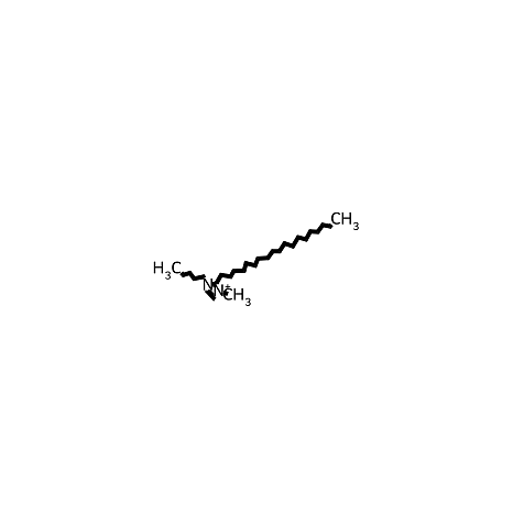 CCCCCCCCCCCCCCCCCCCc1n(CCCCC)cc[n+]1C